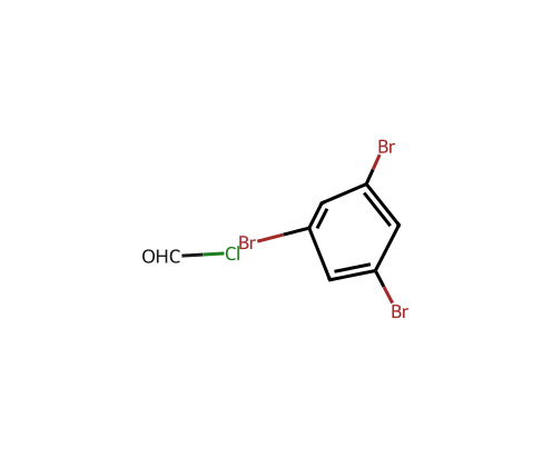 Brc1cc(Br)cc(Br)c1.O=CCl